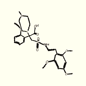 COc1cc(OC)c(/C=C/NS(=O)(=O)CC(C(=O)O)(c2ccccc2OC)N2CCN(C)CC2)c(OC)c1